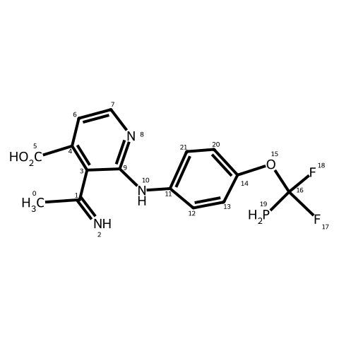 CC(=N)c1c(C(=O)O)ccnc1Nc1ccc(OC(F)(F)P)cc1